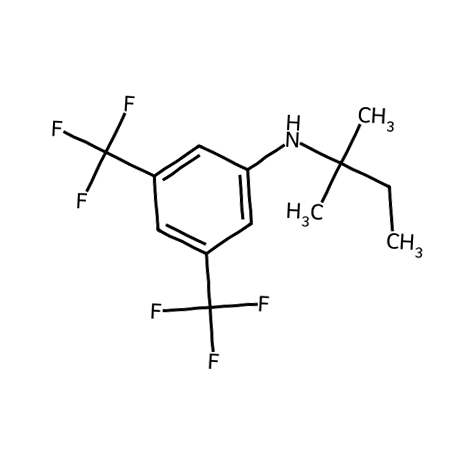 CCC(C)(C)Nc1cc(C(F)(F)F)cc(C(F)(F)F)c1